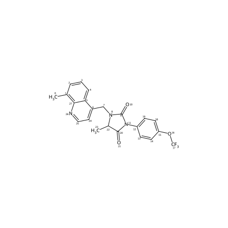 Cc1cccc2c(CN3C(=O)N(c4ccc(OC(F)(F)F)cc4)C(=O)C3C)ccnc12